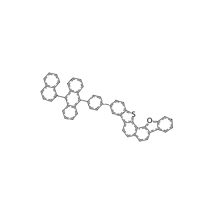 c1ccc2c(-c3c4ccccc4c(-c4ccc(-c5ccc6sc7c(ccc8ccc9c%10ccccc%10oc9c87)c6c5)cc4)c4ccccc34)cccc2c1